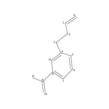 C=CCCc1cccc(C(=C)C)c1